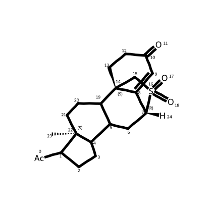 CC(=O)C1CCC2C3C[C@@H]4C5=CC(=O)CC[C@]5(CS4(=O)=O)C3CC[C@]12C